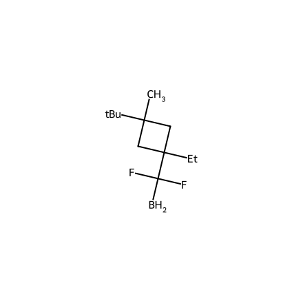 BC(F)(F)C1(CC)CC(C)(C(C)(C)C)C1